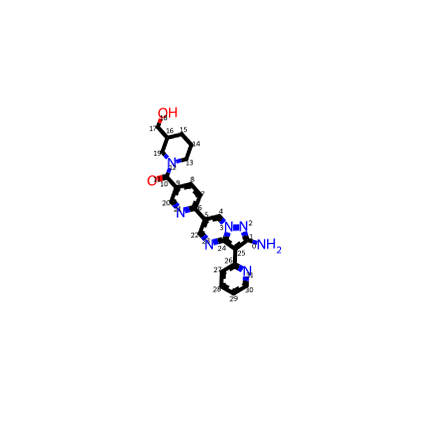 Nc1nn2cc(-c3ccc(C(=O)N4CCCC(CO)C4)cn3)cnc2c1-c1ccccn1